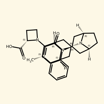 C[C@@H]1C[C@@H]2C[C@H](C1)C[C@@H](N1[C@@H]3CC[C@H]1C[C@@H](n1c(=O)c(N4CC[C@H]4C(=O)O)nc4ccccc41)C3)C2